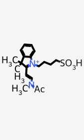 CC(=O)N(C)/C=C/C1=[N+](CCCCS(=O)(=O)O)c2ccccc2C1(C)C